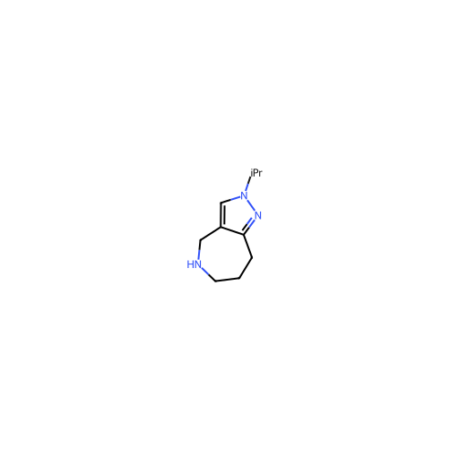 CC(C)n1cc2c(n1)CCCNC2